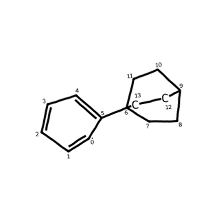 [c]1ccccc1C12CCC(CC1)CC2